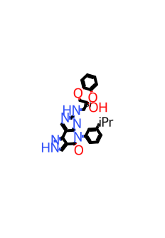 CC(C)c1cccc(-n2c(=O)c3c[nH]nc3c3cnc(NC[C@@]4(O)COc5ccccc5O4)nc32)c1